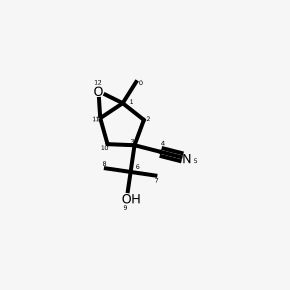 CC12CC(C#N)(C(C)(C)O)CC1O2